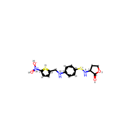 O=C1OCCC1NSc1ccc(NCc2ccc([N+](=O)[O-])s2)cc1